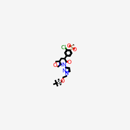 CC(C)(C)[Si](C)(C)OCCn1ccc(NC(=O)C(CC2CCOC2)c2ccc(S(C)(=O)=O)c(Cl)c2)n1